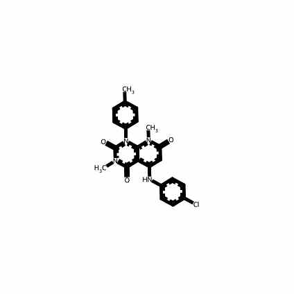 Cc1ccc(-n2c(=O)n(C)c(=O)c3c(Nc4ccc(Cl)cc4)cc(=O)n(C)c32)cc1